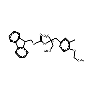 COCOc1ccc(C[C@](COC)(NC(=O)OCC2c3ccccc3-c3ccccc32)C(=O)O)cc1I